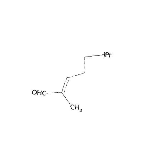 CC(C=O)=CCCC(C)C